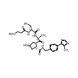 COCCC(=O)N[C@@H](CC(C)C)C(=O)N[C@@H](C)C(=O)N1C[C@H](O)C[C@H]1C(=O)NCc1ccc(-c2scnc2C)cc1